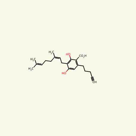 C#CCCCc1cc(O)c(CC=C(C)CCC=C(C)C)c(O)c1C(=O)O